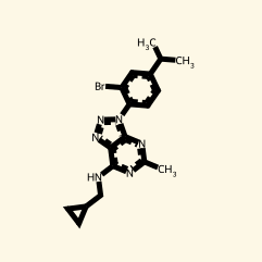 Cc1nc(NCC2CC2)c2nnn(-c3ccc(C(C)C)cc3Br)c2n1